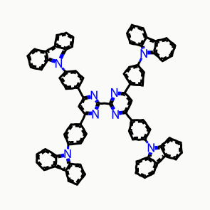 c1ccc2c(c1)c1ccccc1n2-c1ccc(-c2cc(-c3ccc(-n4c5ccccc5c5ccccc54)cc3)nc(-c3nc(-c4ccc(-n5c6ccccc6c6ccccc65)cc4)cc(-c4ccc(-n5c6ccccc6c6ccccc65)cc4)n3)n2)cc1